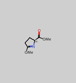 COC(=O)[C@@H]1CCC(OC)=N1